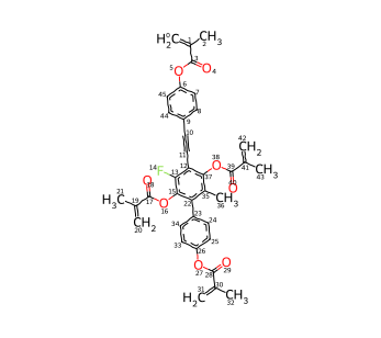 C=C(C)C(=O)Oc1ccc(C#Cc2c(F)c(OC(=O)C(=C)C)c(-c3ccc(OC(=O)C(=C)C)cc3)c(C)c2OC(=O)C(=C)C)cc1